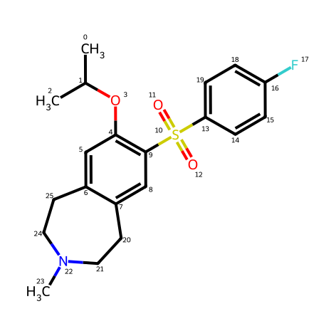 CC(C)Oc1cc2c(cc1S(=O)(=O)c1ccc(F)cc1)CCN(C)CC2